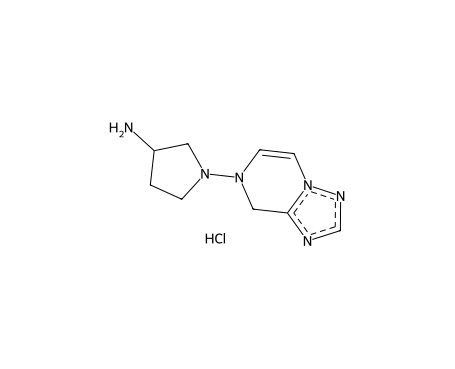 Cl.NC1CCN(N2C=Cn3ncnc3C2)C1